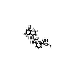 C[C@@H](O)c1nccc(NC(=O)N[C@H]2CCOc3c(Cl)cccc32)n1